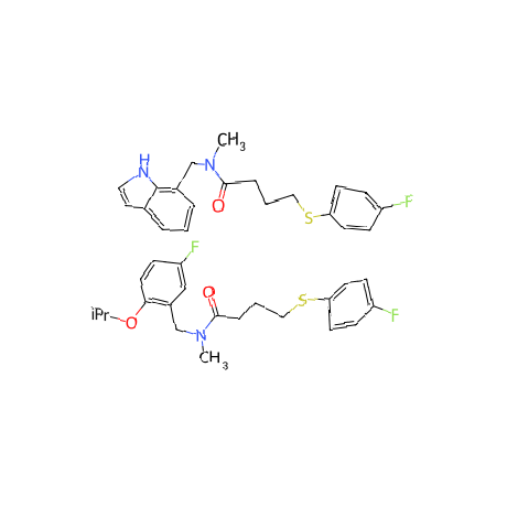 CC(C)Oc1ccc(F)cc1CN(C)C(=O)CCCSc1ccc(F)cc1.CN(Cc1cccc2cc[nH]c12)C(=O)CCCSc1ccc(F)cc1